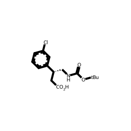 CC(C)(C)OC(=O)NC[C@H](CC(=O)O)c1cccc(Cl)c1